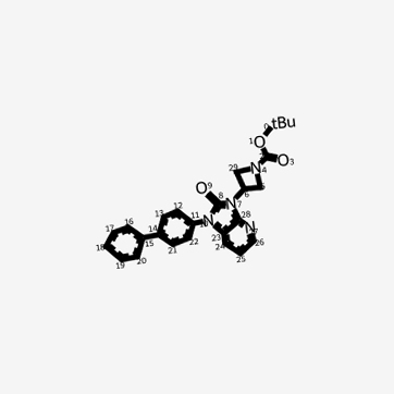 CC(C)(C)OC(=O)N1CC(n2c(=O)n(-c3ccc(-c4ccccc4)cc3)c3cccnc32)C1